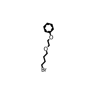 BrCCCCOCCOc1ccccc1